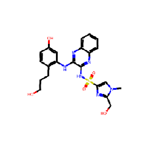 Cn1cc(S(=O)(=O)Nc2nc3ccccc3nc2Nc2cc(O)ccc2CCCO)nc1CO